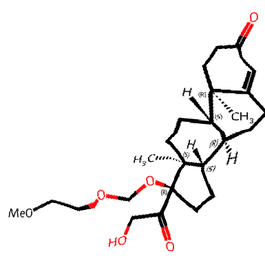 COCCOCO[C@]1(C(=O)CO)CC[C@H]2[C@@H]3CCC4=CC(=O)CC[C@]4(C)[C@H]3CC[C@@]21C